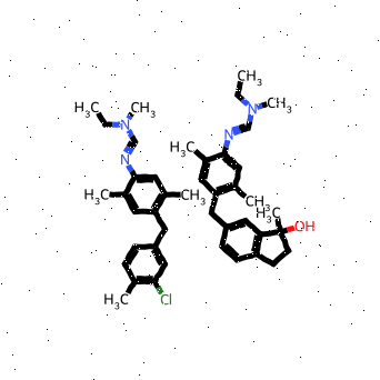 CCN(C)C=Nc1cc(C)c(Cc2ccc(C)c(Cl)c2)cc1C.CCN(C)C=Nc1cc(C)c(Cc2ccc3c(c2)C(C)(O)CC3)cc1C